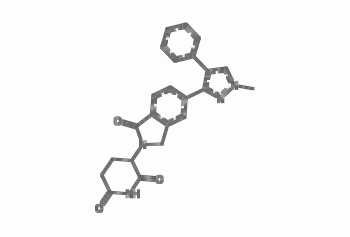 Cn1cc(-c2ccccc2)c(-c2ccc3c(c2)CN(C2CCC(=O)NC2=O)C3=O)n1